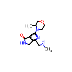 CNCc1nc(N2CCOCC2C)cc2c1CNC2=O